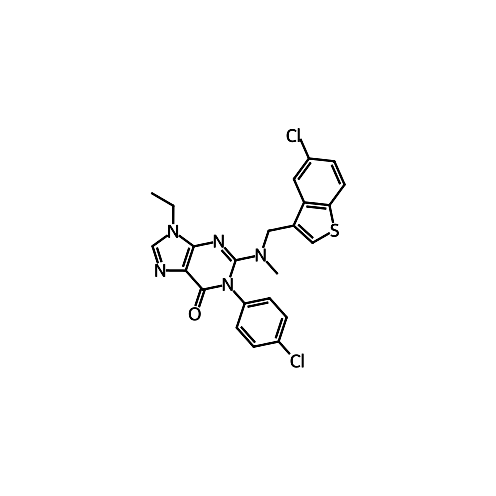 CCn1cnc2c(=O)n(-c3ccc(Cl)cc3)c(N(C)Cc3csc4ccc(Cl)cc34)nc21